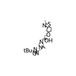 Cc1nc2cc(OC[C@@H](O)CN3CCN(Cc4noc(C(C)(C)C)n4)[C@H](C)C3)ccc2s1